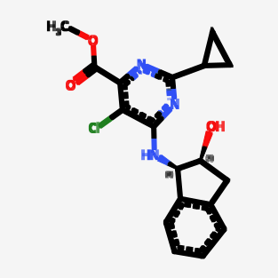 COC(=O)c1nc(C2CC2)nc(N[C@@H]2c3ccccc3C[C@@H]2O)c1Cl